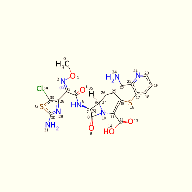 CO/N=C(\C(=O)N[C@@H]1C(=O)N2C(C(=O)O)=C(Sc3cccnc3CN)CC[C@H]12)c1nc(N)sc1Cl